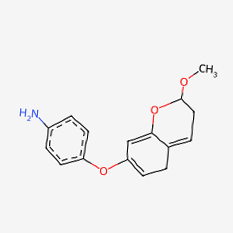 COC1CC=C2CC=C(Oc3ccc(N)cc3)C=C2O1